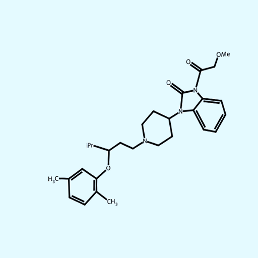 COCC(=O)n1c(=O)n(C2CCN(CCC(Oc3cc(C)ccc3C)C(C)C)CC2)c2ccccc21